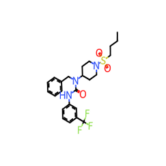 CCCCS(=O)(=O)N1CCC(N(Cc2ccccc2)C(=O)Nc2cccc(C(F)(F)F)c2)CC1